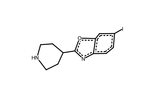 Ic1ccc2nc(C3CCNCC3)oc2c1